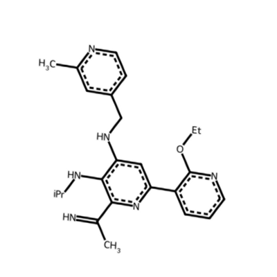 CCOc1ncccc1-c1cc(NCc2ccnc(C)c2)c(NC(C)C)c(C(C)=N)n1